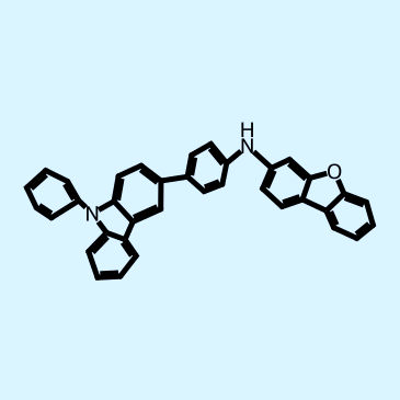 c1ccc(-n2c3ccccc3c3cc(-c4ccc(Nc5ccc6c(c5)oc5ccccc56)cc4)ccc32)cc1